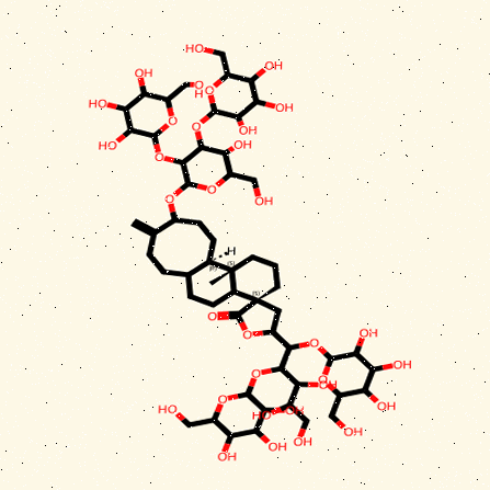 C=C1CCC2CCC3[C@]4(CCC[C@@]3(C)[C@@H]2CCC1OC1OC(CO)C(O)C(OC2OC(CO)C(O)C(O)C2O)C1OC1OC(CO)C(O)C(O)C1O)CC(C(OC1OC(CO)C(O)C(O)C1O)C(OC1OC(CO)C(O)C(O)C1O)C(O)C(O)CO)OC4=O